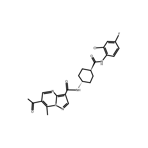 CC(=O)c1cnc2c(C(=O)N[C@H]3CC[C@H](C(=O)Nc4ccc(F)cc4Cl)CC3)cnn2c1C